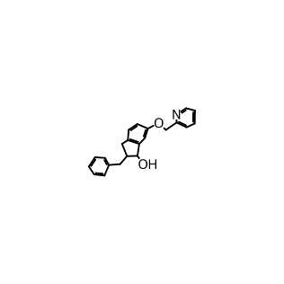 OC1c2cc(OCc3ccccn3)ccc2CC1Cc1ccccc1